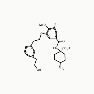 COc1c(F)cc(C(=O)N[C@]2(C(=O)O)CC[C@H](C)CC2)cc1OCCc1cccc(CCO)c1